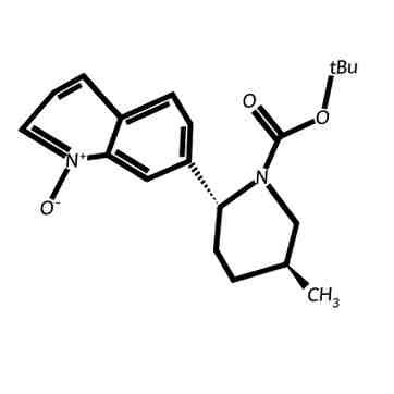 C[C@H]1CC[C@H](c2ccc3ccc[n+]([O-])c3c2)N(C(=O)OC(C)(C)C)C1